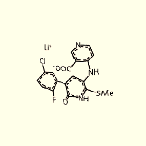 CSc1[nH]c(=O)c(-c2cc(Cl)ccc2F)cc1Nc1ccncc1C(=O)[O-].[Li+]